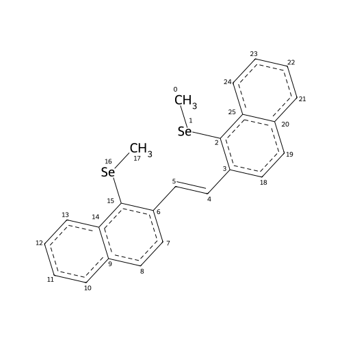 C[Se]c1c(C=Cc2ccc3ccccc3c2[Se]C)ccc2ccccc12